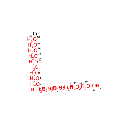 O.O.O.O.O.O.O.O.O.O.O.O.O.O.O.O.O.O.O.O.[Cr]